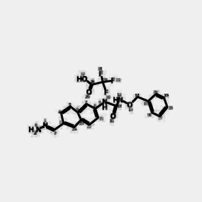 NN=Cc1ccc2cc(NC(=O)NOCc3ccccc3)ccc2c1.O=C(O)C(F)(F)F